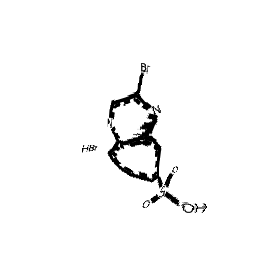 Br.O=S(=O)(O)c1ccc2ncc(Br)nc2c1